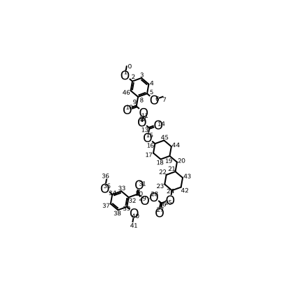 COc1ccc(OC)c(C(=O)OOC(=O)OC2CCC(CC3CCC(OC(=O)OOC(=O)c4cc(OC)ccc4OC)CC3)CC2)c1